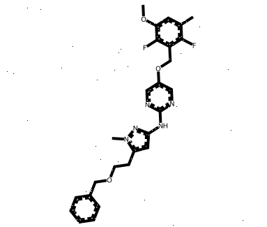 COc1cc(C)c(F)c(COc2cnc(Nc3cc(CCOCc4ccccc4)n(C)n3)nc2)c1F